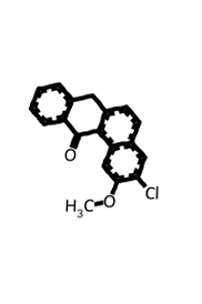 COc1cc2c3c(ccc2cc1Cl)Cc1ccccc1C3=O